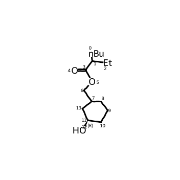 CCCCC(CC)C(=O)OCC1CCC[C@@H](O)C1